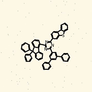 c1ccc(-c2cc(-c3ccccc3)cc(-c3nc(-c4ccc5c(c4)sc4ccccc45)nc(-c4cccc5c4-c4ccccc4C5(c4ccccc4)c4ccccc4)n3)c2)cc1